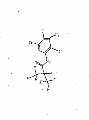 O=C(Nc1cc(Cl)c(Cl)c(Cl)c1Cl)C(F)(C(F)(F)F)C(F)(F)F